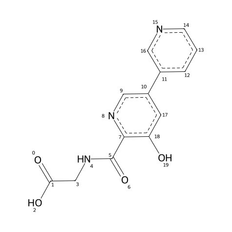 O=C(O)CNC(=O)c1ncc(-c2cccnc2)cc1O